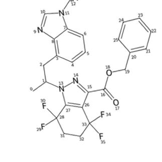 CC(Cc1cccc2c1ncn2C(C)C)n1nc(C(=O)OCc2ccccc2)c2c1C(F)(F)CCC2(F)F